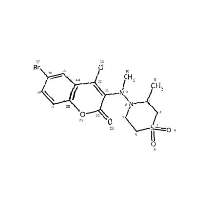 CC1CS(=O)(=O)CCN1N(C)c1c(Cl)c2cc(Br)ccc2oc1=O